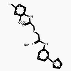 O=C(COCC(=O)Nc1ccc(Cl)cc1C(=O)[O-])Nc1cccc(-n2cccc2)c1.[Na+]